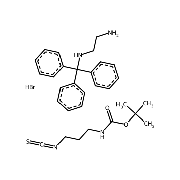 Br.CC(C)(C)OC(=O)NCCCN=C=S.NCCNC(c1ccccc1)(c1ccccc1)c1ccccc1